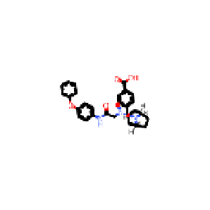 CN(CC(=O)Nc1ccc(Oc2ccccc2)cc1)[C@@H]1C[C@H]2CC[C@@H](C1)N2Cc1ccc(C(=O)O)cc1